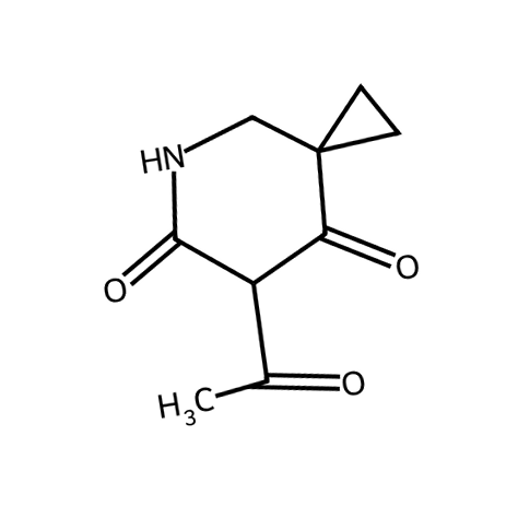 CC(=O)C1C(=O)NCC2(CC2)C1=O